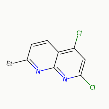 CCc1ccc2c(Cl)cc(Cl)nc2n1